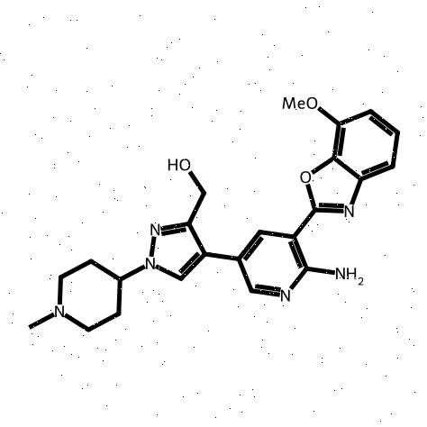 COc1cccc2nc(-c3cc(-c4cn(C5CCN(C)CC5)nc4CO)cnc3N)oc12